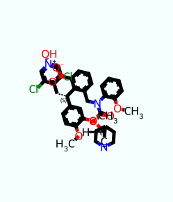 COc1ccc([C@H](Cc2c(Cl)c[n+](O)cc2Cl)c2c(CN(C(=O)O[C@H]3CN4CCC3CC4)c3ccccc3OC)cccc2C(=O)[O-])cc1OC